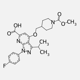 COC(=O)N1CCC(COc2cc(C(=O)O)nc3c2c(C(C)C)nn3-c2ccc(F)cc2)CC1